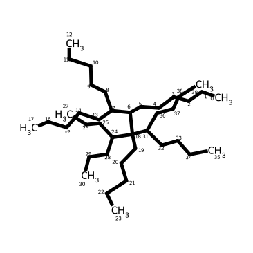 CCCCCC[C](C(CCCCC)CCCCC)C(CCCCC)(C(CCC)CCC)C(CCCC)CCCC